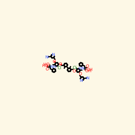 Cc1c(COc2cc(OCc3cncc(C#N)c3)c(CNC(CO)(Cc3ccccc3)C(=O)O)cc2Cl)cccc1-c1cccc(COc2cc(OCc3cncc(C#N)c3)c(CNC(CO)(Cc3ccccc3)C(=O)O)cc2Cl)c1C